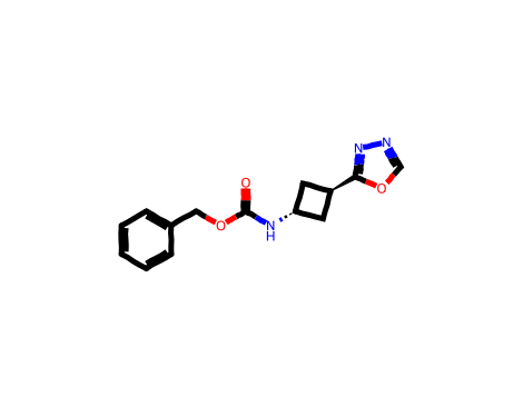 O=C(N[C@H]1C[C@H](c2nnco2)C1)OCc1ccccc1